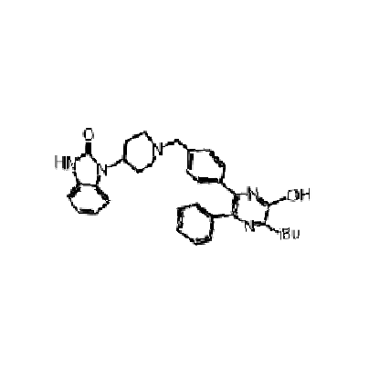 CCC(C)c1nc(-c2ccccc2)c(-c2ccc(CN3CCC(n4c(=O)[nH]c5ccccc54)CC3)cc2)nc1O